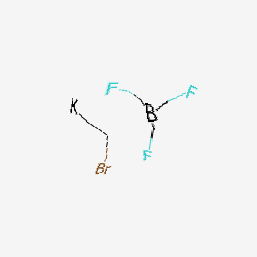 FB(F)F.[K][CH2]Br